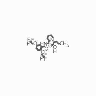 CCCC(C(=O)O)N1CCCCC1CNC(=O)c1cc(OCC(F)(F)F)ccc1OCC(F)(F)F